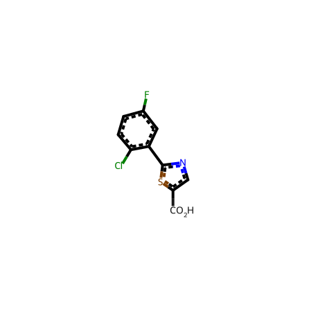 O=C(O)c1cnc(-c2cc(F)ccc2Cl)s1